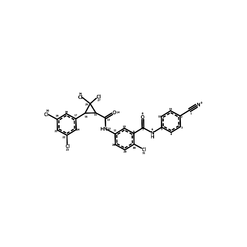 N#Cc1ccc(NC(=O)c2cc(NC(=O)C3C(c4cc(Cl)cc(Cl)c4)C3(Cl)Cl)ccc2Cl)cc1